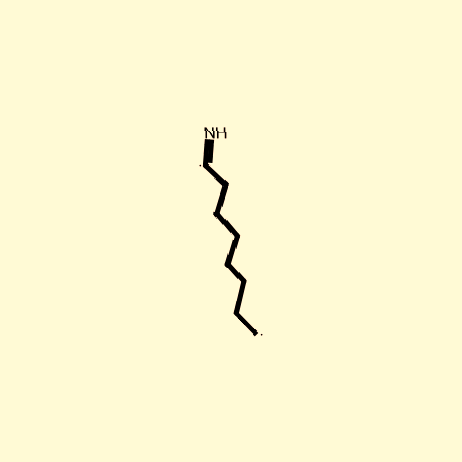 [CH2]CCCCCC[C]=N